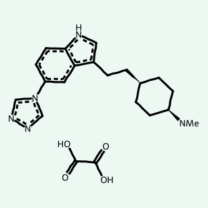 CN[C@H]1CC[C@@H](CCc2c[nH]c3ccc(-n4cnnc4)cc23)CC1.O=C(O)C(=O)O